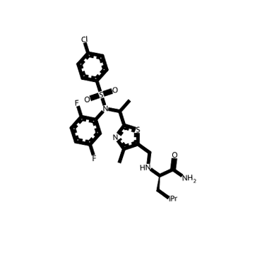 Cc1nc(C(C)N(c2cc(F)ccc2F)S(=O)(=O)c2ccc(Cl)cc2)sc1CN[C@H](CC(C)C)C(N)=O